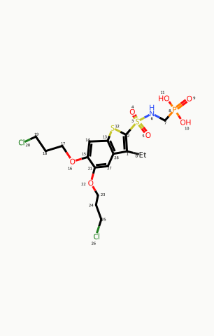 CCc1c(S(=O)(=O)NCP(=O)(O)O)sc2cc(OCCCCl)c(OCCCCl)cc12